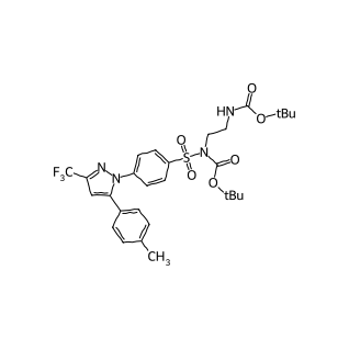 Cc1ccc(-c2cc(C(F)(F)F)nn2-c2ccc(S(=O)(=O)N(CCNC(=O)OC(C)(C)C)C(=O)OC(C)(C)C)cc2)cc1